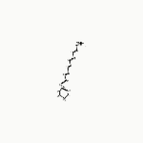 NC/C=C/C=C/C=C/C=C/C=C/C1=CCCCC1